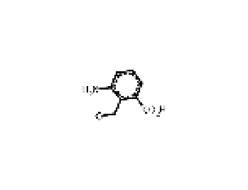 Nc1cccc(C(=O)O)c1C[O]